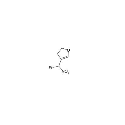 CCC(C1=COCC1)[N+](=O)[O-]